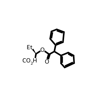 CC[C@@H](OC(=O)C(c1ccccc1)c1ccccc1)C(=O)O